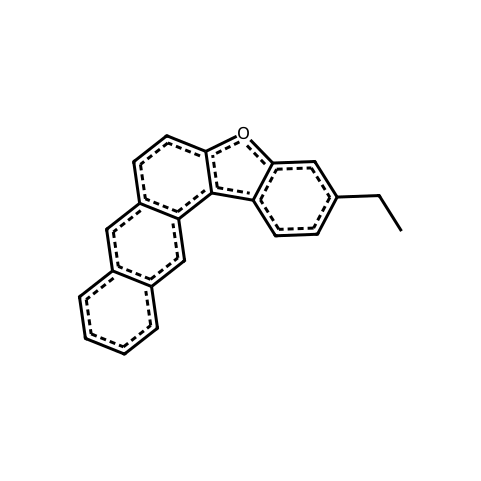 CCc1ccc2c(c1)oc1ccc3cc4ccccc4cc3c12